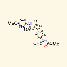 CNC(=O)CN(C=O)c1ccc(C2C(CNc3ccc(OC)nc3OC)C2(C)C)cc1